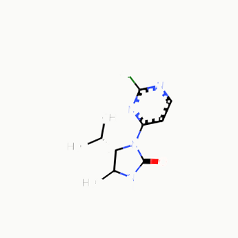 CC(C)[C@H]1C(C)NC(=O)N1c1ccnc(Cl)n1